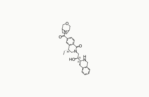 CC[C@H]1CN(C[C@H](O)[C@@H]2Cc3ccccc3CN2)C(=O)c2ccc(C(=O)N3C4CCC3COC4)cc21